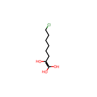 OC(O)=C(O)CCCCCCCl